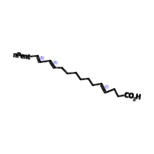 CCCCC/C=C/C=C/CCCCCC/C=C/CCC(=O)O